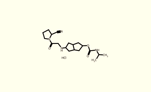 CC(C)NC(=O)OC1CC2CC(NCC(=O)N3CCCC3C#N)CC2C1.Cl